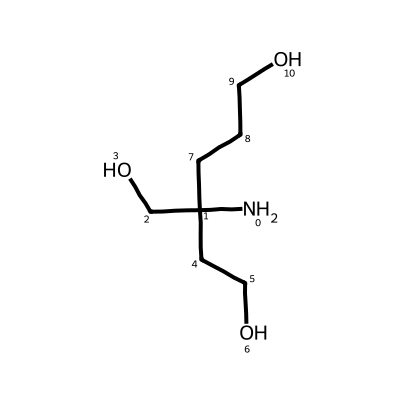 NC(CO)(CCO)CCCO